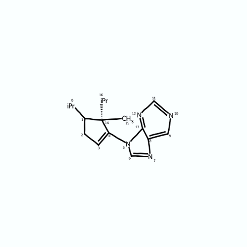 CC(C)C1CC=C(n2cnc3cncnc32)[C@@]1(C)C(C)C